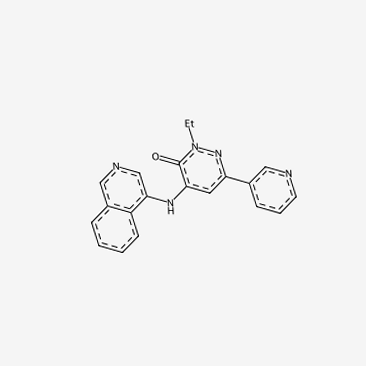 CCn1nc(-c2cccnc2)cc(Nc2cncc3ccccc23)c1=O